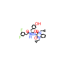 O=C(Cc1cc(F)cc(F)c1)N[C@@H](Cc1ccc(O)cc1)C(=O)NC1C(=O)N(CC2CC2)c2ccccc2N(CC2CC2)C1=O